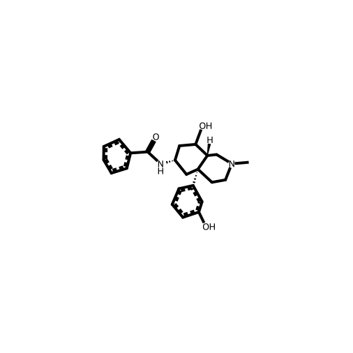 CN1CC[C@@]2(c3cccc(O)c3)C[C@H](NC(=O)c3ccccc3)CC(O)[C@@H]2C1